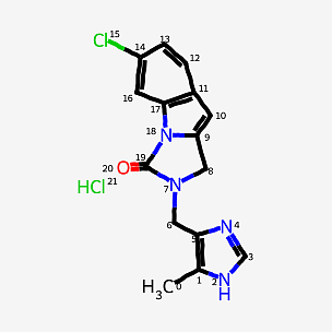 Cc1[nH]cnc1CN1Cc2cc3ccc(Cl)cc3n2C1=O.Cl